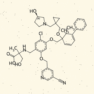 CC(CO)(NCc1cc(Cl)c(OCC2(OCC3(CN4CC[C@@H](O)C4)CC3)C=CC=C(c3ccccc3)C2(C)C)cc1OCc1cncc(C#N)c1)C(=O)O